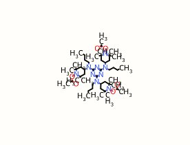 CCCCN(c1nc(N(CCCC)C2CC(C)(C)N(OC(C)=O)C(C)(C)C2)nc(N(CCCC)C2CC(C)(C)N(OC(C)=O)C(C)(C)C2)n1)C1CC(C)(C)N(OC(C)=O)C(C)(C)C1